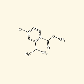 [CH2]C(C)c1cc(Cl)ccc1C(=O)OC